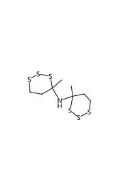 CC1(NC2(C)CCSSS2)CCSSS1